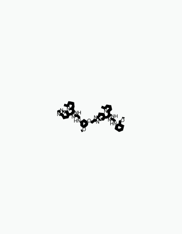 COCc1ccccc1NCc1nc(-c2ccc3nc(COc4cc(NCc5nc(-c6ccc7ncnn7c6)c(-c6cccc(C)n6)[nH]5)cc(OC)c4)nn3c2)c(-c2cccc(C)n2)[nH]1